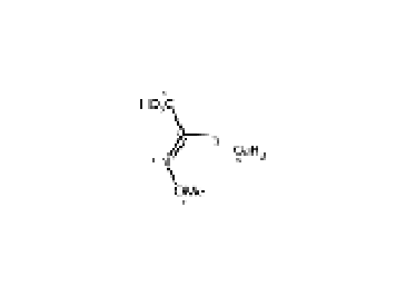 CON=C(C)C(=O)O.[GaH3]